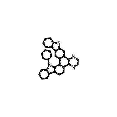 c1ccc(-n2c3ccccc3c3ccc4c5nccnc5c5cc6sc7ccccc7c6cc5c4c32)cc1